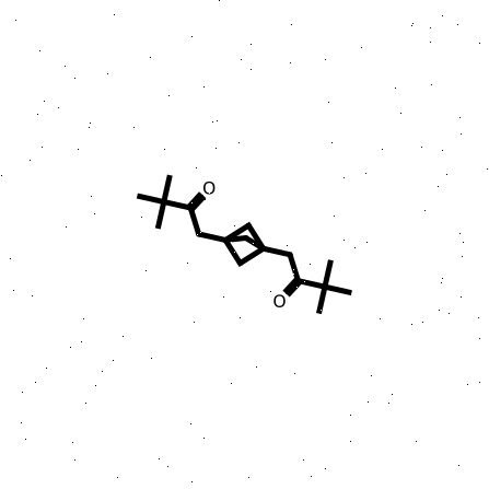 CC(C)(C)C(=O)CC12CC(CC(=O)C(C)(C)C)(C1)C2